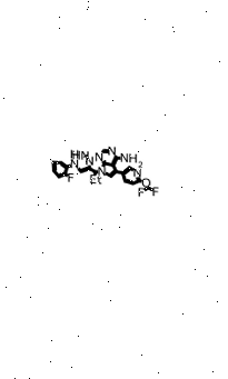 CCC(/C(=C/Nc1ccccc1F)N=N)n1cc(-c2ccc(OC(F)F)nc2)c2c(N)ncnc21